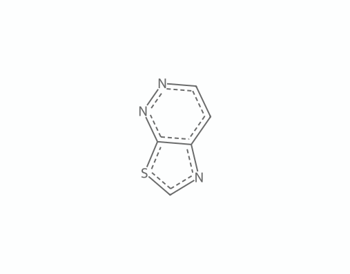 c1cc2ncsc2nn1